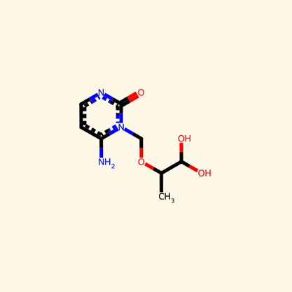 CC(OCn1c(N)ccnc1=O)C(O)O